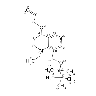 C=CCOC1CCN(CC)c2c(CO[Si](C)(C)C(C)(C)C)cccc21